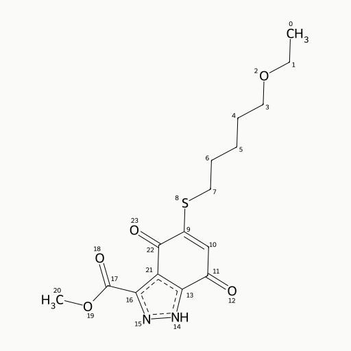 CCOCCCCCSC1=CC(=O)c2[nH]nc(C(=O)OC)c2C1=O